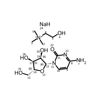 C[N+](C)(C)CCO.Nc1ccn([C@@H]2O[C@H](CO)[C@@H](O)[C@H]2O)c(=O)n1.[NaH]